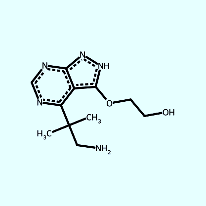 CC(C)(CN)c1ncnc2n[nH]c(OCCO)c12